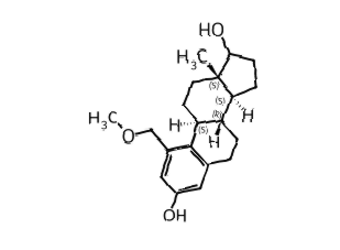 COCc1cc(O)cc2c1[C@H]1CC[C@]3(C)C(O)CC[C@H]3[C@@H]1CC2